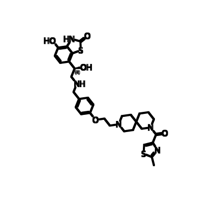 Cc1nc(C(=O)N2CCCC3(CCN(CCOc4ccc(CNC[C@H](O)c5ccc(O)c6[nH]c(=O)sc56)cc4)CC3)C2)cs1